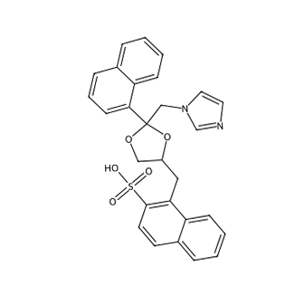 O=S(=O)(O)c1ccc2ccccc2c1CC1COC(Cn2ccnc2)(c2cccc3ccccc23)O1